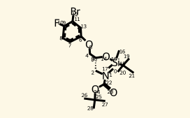 CN(C[C@H](COc1ccc(F)c(Br)c1)O[Si](C)(C)C(C)(C)C)C(=O)OC(C)(C)C